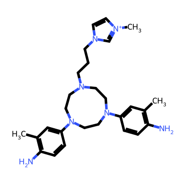 Cc1cc(N2CCN(CCCn3cc[n+](C)c3)CCN(c3ccc(N)c(C)c3)CC2)ccc1N